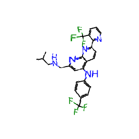 CC(C)CNCc1cc(Nc2ccc(C(F)(F)F)cc2)c2ccc(-c3ncccc3C(F)(F)F)nc2n1